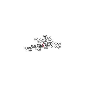 CC[C@H](C)[C@H](NC(=O)[C@H](C)NC(=O)[C@H](CO)NC(=O)[C@H](CCC(=O)O)NC(=O)[C@H](CC(N)=O)NC(=O)[C@@H](NC(=O)[C@H](CS)NC(=O)[C@H](CO)NC(=O)[C@@H](N)CCCNC(=N)N)[C@@H](C)CC)C(=O)N[C@@H](CC(=O)O)C(=O)O